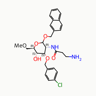 COC[C@H]1OC(OCc2ccc3ccccc3c2)[C@H](NC(=O)CCN)[C@H](OCc2ccc(Cl)cc2)[C@@H]1O